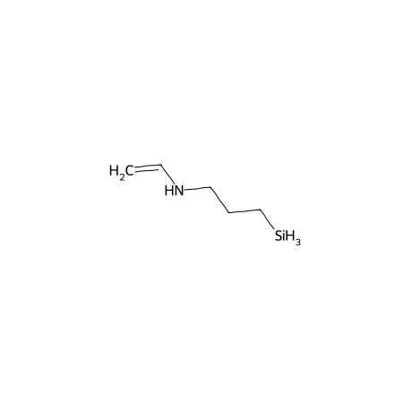 C=CNCCC[SiH3]